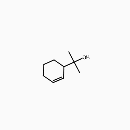 CC(C)(O)C1C=CCCC1